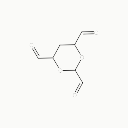 O=CC1CC(C=O)OC(C=O)O1